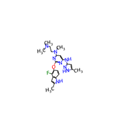 Cc1cc(Nc2cc(N(C)CCN(C)C)nc(Oc3ccc4[nH]c(C)cc4c3F)n2)n[nH]1